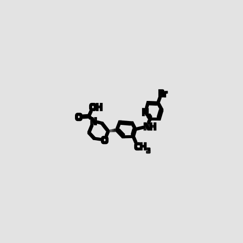 Cc1cc([C@H]2CN(C(=O)O)CCO2)ccc1Nc1ccc(Br)cn1